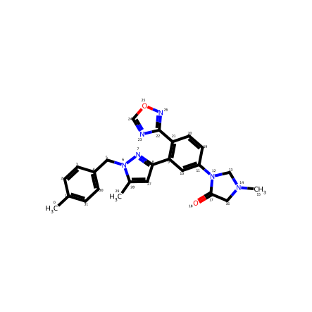 Cc1ccc(Cn2nc(-c3cc(N4CN(C)CC4=O)ccc3-c3ncon3)cc2C)cc1